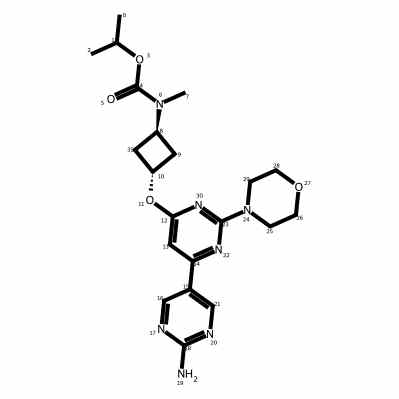 CC(C)OC(=O)N(C)[C@H]1C[C@H](Oc2cc(-c3cnc(N)nc3)nc(N3CCOCC3)n2)C1